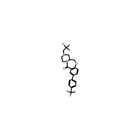 O=C1c2cc(-c3ccc(C(F)(F)F)cc3)ccc2OCC2CN(CC(F)(F)F)CCN12